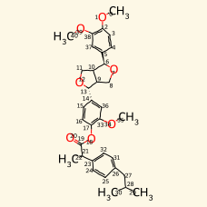 COc1ccc([C@H]2OCC3C2CO[C@H]3c2ccc(OC(=O)C(C)c3ccc(CC(C)C)cc3)c(OC)c2)cc1OC